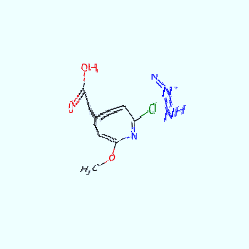 COc1cc(C(=O)O)cc(Cl)n1.[N-]=[N+]=N